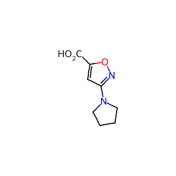 O=C(O)c1cc(N2CCCC2)no1